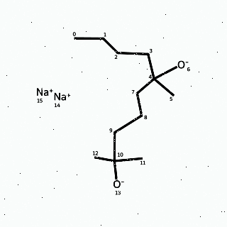 CCCCC(C)([O-])CCCC(C)(C)[O-].[Na+].[Na+]